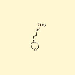 O=CC=CC=CN1CCOCC1